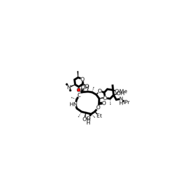 CC[C@@H]1OC(=O)[C@H](C)[C@H](OC2C[C@@](C)(OC)[C@](O)(CNC(C)C)[C@H](C)O2)[C@@H](C)[C@@H](O[C@@H]2O[C@H](C)C[C@H](N(C)C)[C@H]2O)[C@](C)(O)C[C@@H](C)NC[C@@H](C)[C@H](O)[C@]1(C)O